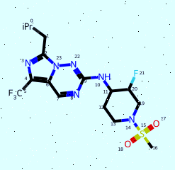 CC(C)Cc1nc(C(F)(F)F)c2cnc(NC3CCN(S(C)(=O)=O)CC3F)nn12